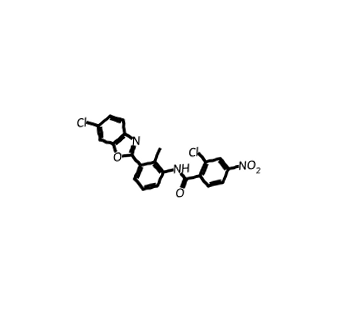 Cc1c(NC(=O)c2ccc([N+](=O)[O-])cc2Cl)cccc1-c1nc2ccc(Cl)cc2o1